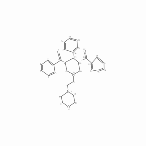 O=C(c1ccccc1)[C@H]1CN(CCN2CCOCC2)C[C@@H](C(=O)c2ccccc2)[C@H]1c1ccccc1